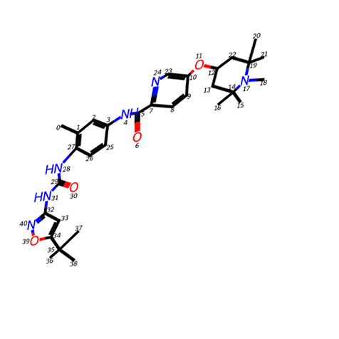 Cc1cc(NC(=O)c2ccc(OC3CC(C)(C)N(C)C(C)(C)C3)cn2)ccc1NC(=O)Nc1cc(C(C)(C)C)on1